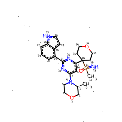 C[C@@H]1COCCN1c1cc(C2(S(C)(=N)=O)CCOCC2)nc(-c2cccc3[nH]ccc23)n1